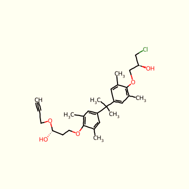 C#CCO[C@@H](O)CCOc1c(C)cc(C(C)(C)c2cc(C)c(OC[C@H](O)CCl)c(C)c2)cc1C